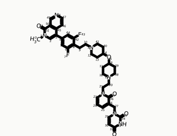 Cn1cc(-c2cc(F)c(CCN3CCC(OC4CCN(CCn5cccc(Cn6ccc(=O)[nH]c6=O)c5=O)CC4)CC3)c(F)c2)c2ccncc2c1=O